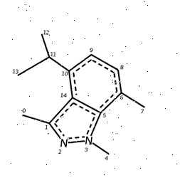 Cc1nn(C)c2c(C)ccc(C(C)C)c12